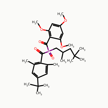 COc1cc(OC)c(C(=O)P(=O)(CC(C)CC(C)(C)C)C(=O)c2c(C)cc(C(C)(C)C)cc2C)c(OC)c1